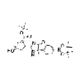 CC(C)(C)OC(=O)N1C[C@H](O)CC1C1=NC(=O)C(C)(c2ccc(B3OC(C)(C)C(C)(C)O3)cc2)N1